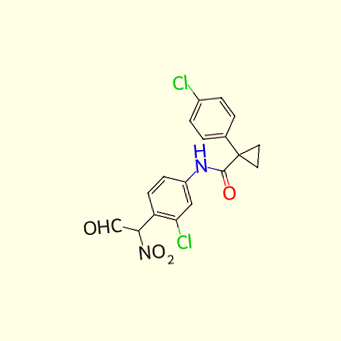 O=CC(c1ccc(NC(=O)C2(c3ccc(Cl)cc3)CC2)cc1Cl)[N+](=O)[O-]